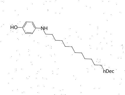 CCCCCCCCCCCCCCCCCCCCCCNc1ccc(O)cc1